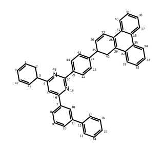 C1=CCC(c2cc(-c3cccc(-c4ccccc4)c3)nc(-c3ccc(C4C=Cc5c(c6ccccc6c6ccccc56)C4)cc3)n2)C=C1